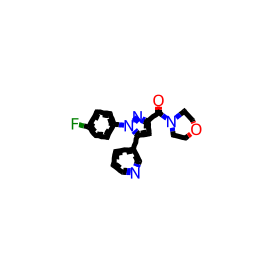 O=C(c1cc(-c2cccnc2)n(-c2ccc(F)cc2)n1)N1CCOCC1